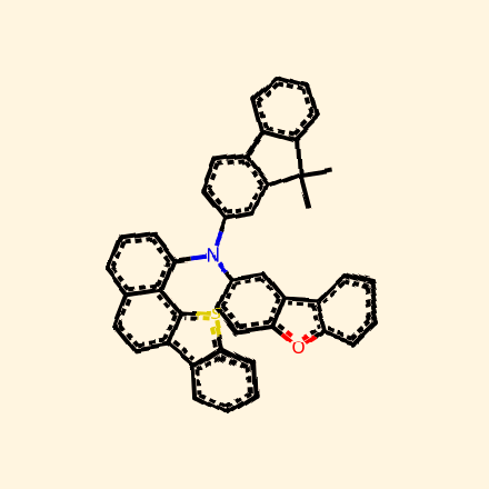 CC1(C)c2ccccc2-c2ccc(N(c3ccc4oc5ccccc5c4c3)c3cccc4ccc5c6ccccc6sc5c34)cc21